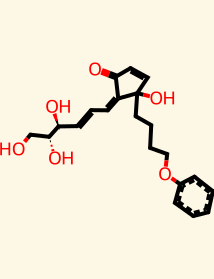 O=C1C=CC(O)(CCCCOc2ccccc2)C1=CC=C[C@H](O)[C@H](O)CO